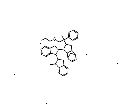 CCCSCC(C)(c1ccccc1)C1CC2C3C=CC(C3)C2C1C1Cc2ccccc2C1C1Cc2ccccc2C1C